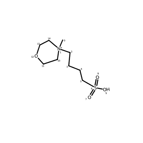 C[N+]1(CCCCS(=O)(=O)O)CCOCC1